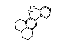 Oc1ccccc1-c1cc2c3c(c1O)CCCC3CCC2